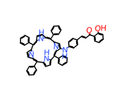 O=C(C=Cc1ccc(NC2=Cc3nc2c(-c2ccccc2)c2ccc([nH]2)c(-c2ccccc2)c2nc(c(-c4ccccc4)c4ccc([nH]4)c3-c3ccccc3)C=C2)cc1)c1ccccc1O